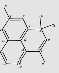 CC1=CC(C)(C)c2cc(C)cc3ccnc1c23